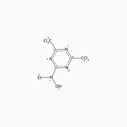 CCN(O)c1nc(C(Cl)(Cl)Cl)nc(C(Cl)(Cl)Cl)n1